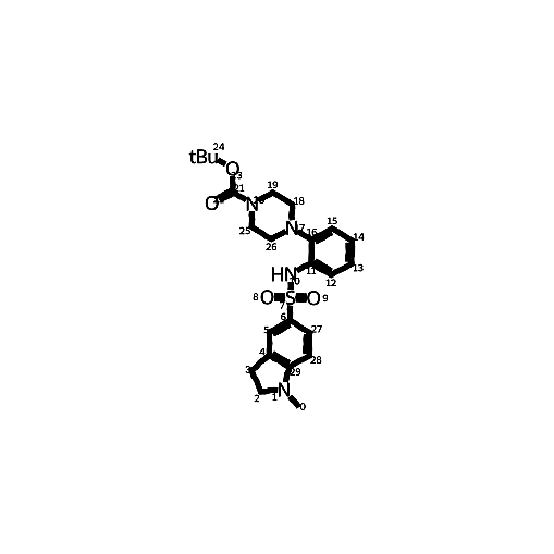 CN1CCc2cc(S(=O)(=O)Nc3ccccc3N3CCN(C(=O)OC(C)(C)C)CC3)ccc21